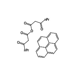 CCCC(=O)CC(=O)OC(=O)CC(=O)CCC.c1cc2ccc3cccc4ccc(c1)c2c34